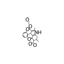 COCCOC(=O)C1=C(C)NC2=C(C(=O)C(C(=O)OC)C(C)C2)C1c1ccccc1C